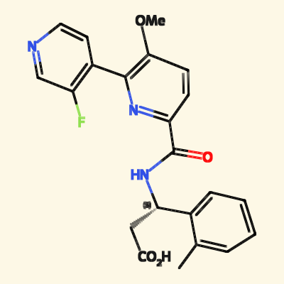 COc1ccc(C(=O)N[C@@H](CC(=O)O)c2ccccc2C)nc1-c1ccncc1F